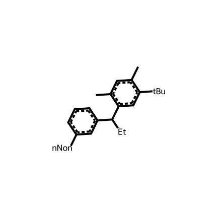 CCCCCCCCCc1cccc(C(CC)c2cc(C(C)(C)C)c(C)cc2C)c1